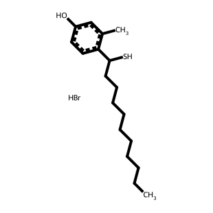 Br.CCCCCCCCCCC(S)c1ccc(O)cc1C